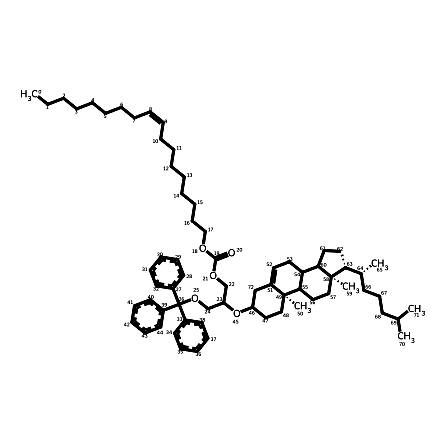 CCCCCCCC/C=C\CCCCCCCCOC(=O)OCC(COC(c1ccccc1)(c1ccccc1)c1ccccc1)OC1CC[C@@]2(C)C(=CCC3C2CC[C@@]2(C)C3CC[C@@H]2[C@H](C)CCCC(C)C)C1